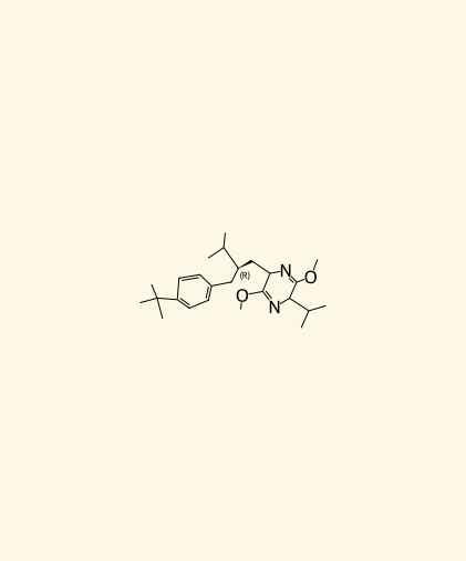 COC1=NC(C(C)C)C(OC)=NC1C[C@@H](Cc1ccc(C(C)(C)C)cc1)C(C)C